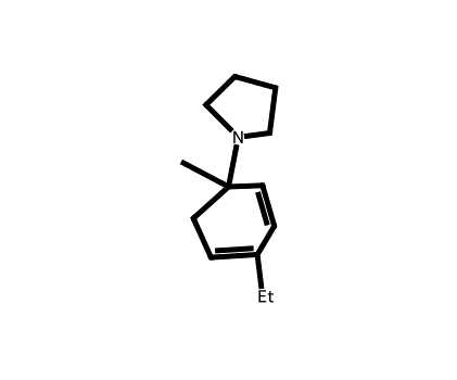 CCC1=CCC(C)(N2CCCC2)C=C1